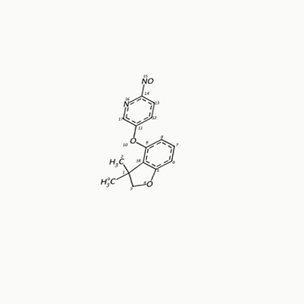 CC1(C)COc2cccc(Oc3ccc(N=O)nc3)c21